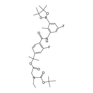 CCN(CC(=O)OC(C)(C)c1ccc(C(=O)Nc2cc(F)cc(B3OC(C)(C)C(C)(C)O3)c2C)c(F)c1)C(=O)OC(C)(C)C